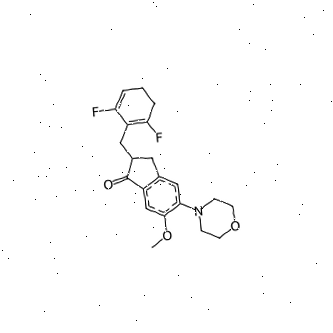 COc1cc2c(cc1N1CCOCC1)CC(CC1=C(F)CCC=C1F)C2=O